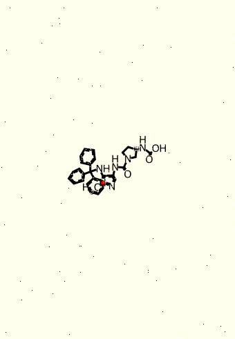 Cn1ncc(NC(=O)N2CC[C@H](NC(=O)O)C2)c1NC(c1ccccc1)(c1ccccc1)c1ccccc1